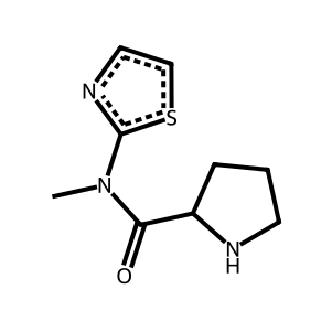 CN(C(=O)C1CCCN1)c1nccs1